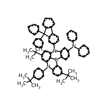 CC(C)(C)c1ccc(N2c3ccc(C(C)(C)C)cc3B3c4ccc(N(c5ccccc5)c5ccccc5)cc4N(c4ccc5c(c4)C(c4ccccc4)(c4ccccc4)c4ccccc4-5)c4cc(C(C)(C)C)cc2c43)cc1